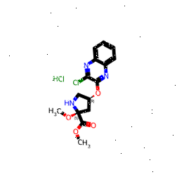 COC(=O)[C@@]1(OC)C[C@@H](Oc2nc3ccccc3nc2Cl)CN1.Cl